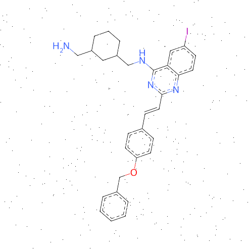 NCC1CCCC(CNc2nc(/C=C/c3ccc(OCc4ccccc4)cc3)nc3ccc(I)cc23)C1